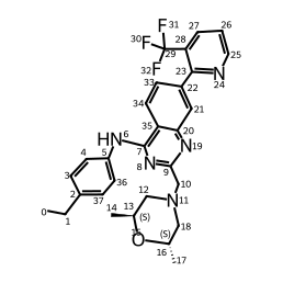 CCc1ccc(Nc2nc(CN3C[C@H](C)O[C@@H](C)C3)nc3cc(-c4ncccc4C(F)(F)F)ccc23)cc1